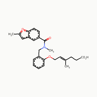 C/C(=C\COc1ccccc1CN(C)C(=O)c1ccc2oc(C)cc2c1)CCC(=O)O